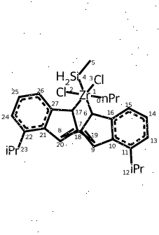 CC[CH2][Zr]([Cl])([Cl])([SiH2]C)([CH]1C(C)=Cc2c(C(C)C)cccc21)[CH]1C(C)=Cc2c(C(C)C)cccc21